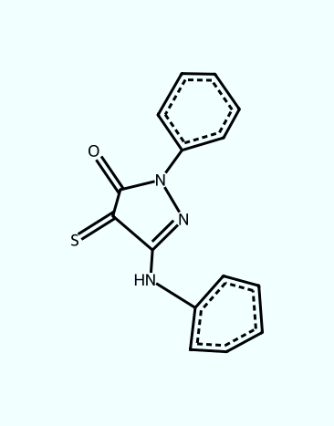 O=C1C(=S)C(Nc2ccccc2)=NN1c1ccccc1